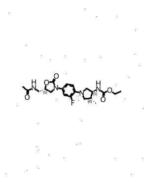 CCOC(=O)N[C@@H]1CN(c2ccc(N3C[C@H](CNC(C)=O)OC3=O)cc2F)C[C@H]1C